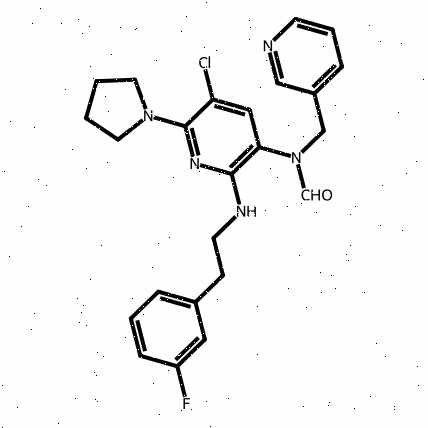 O=CN(Cc1cccnc1)c1cc(Cl)c(N2CCCC2)nc1NCCc1cccc(F)c1